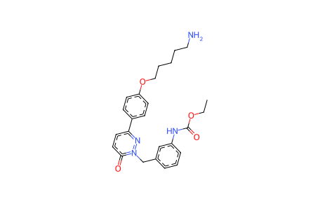 CCOC(=O)Nc1cccc(Cn2nc(-c3ccc(OCCCCCN)cc3)ccc2=O)c1